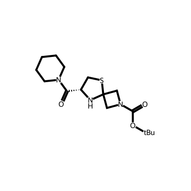 CC(C)(C)OC(=O)N1CC2(C1)N[C@H](C(=O)N1CCCCC1)CS2